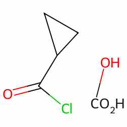 O=C(Cl)C1CC1.O=C(O)O